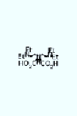 CCN(CC)CCNCCN(CC)CC.O=C(O)/C=C\C(=O)O